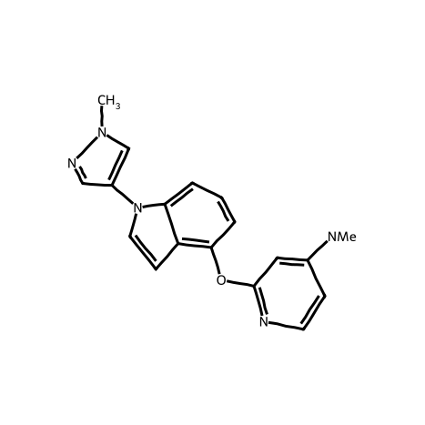 CNc1ccnc(Oc2cccc3c2ccn3-c2cnn(C)c2)c1